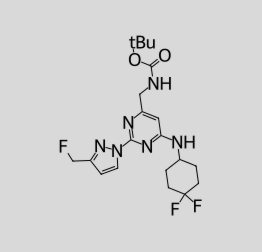 CC(C)(C)OC(=O)NCc1cc(NC2CCC(F)(F)CC2)nc(-n2ccc(CF)n2)n1